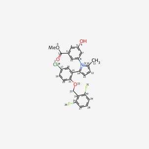 COC(=O)c1cc(O)cc(-n2c(C)ccc2-c2cc(Cl)ccc2OCc2c(F)cccc2F)c1